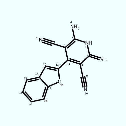 N#Cc1c(N)[nH]c(=S)c(C#N)c1-c1cc2ccccc2o1